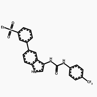 CCS(=O)(=O)c1cccc(-c2ccc3[nH]cc(NC(=O)Nc4ccc(C(F)(F)F)cc4)c3c2)c1